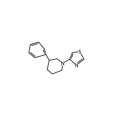 c1ccc(C2CCCN(c3cscn3)C2)cc1